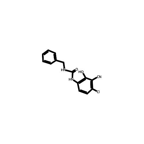 N#Cc1c(Cl)ccc(NC(=O)NCc2ccccc2)c1O